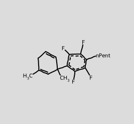 CCCCCc1c(F)c(F)c(C2(C)C=CCC(C)=C2)c(F)c1F